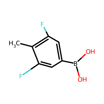 Cc1c(F)cc(B(O)O)cc1F